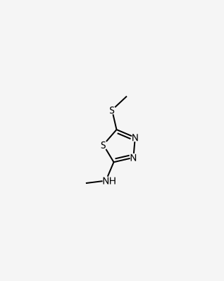 CNc1nnc(SC)s1